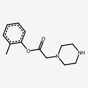 Cc1cc[c]cc1OC(=O)CN1CCNCC1